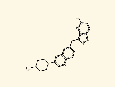 CN1CCN(c2cnc3ccc(Cc4nnc5ccc(Cl)nn45)cc3c2)CC1